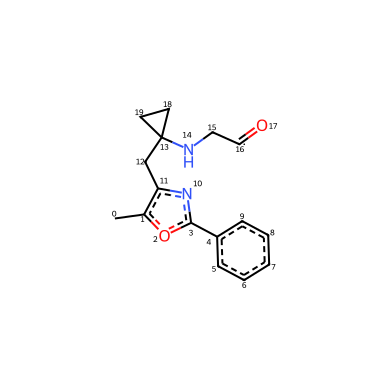 Cc1oc(-c2ccccc2)nc1CC1(NC[C]=O)CC1